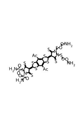 CC(=O)c1c2c(c(C(C)=O)c3c1SC(=C1C(=S)N(S(N)(=O)=O)N(S(N)(=O)=O)C1=S)S3)SC(=C1C(=S)N(SOON)N(SOON)C1=S)S2